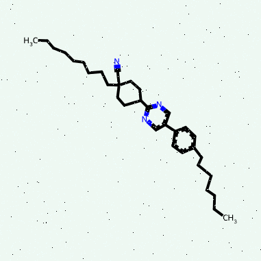 CCCCCCCCCC1(C#N)CCC(c2ncc(-c3ccc(CCCCCCC)cc3)cn2)CC1